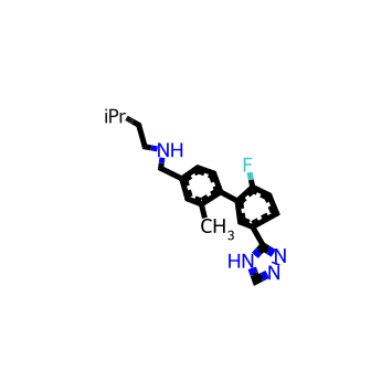 Cc1cc(CNCCC(C)C)ccc1-c1cc(-c2nnc[nH]2)ccc1F